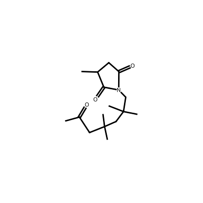 CC(=O)CC(C)(C)CC(C)(C)CN1C(=O)CC(C)C1=O